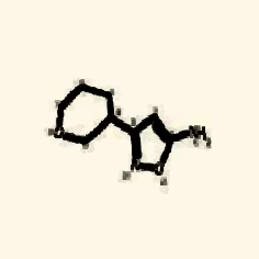 Nc1cc(C2CCCOC2)no1